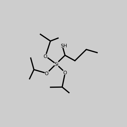 CCCC(S)[Si](OC(C)C)(OC(C)C)OC(C)C